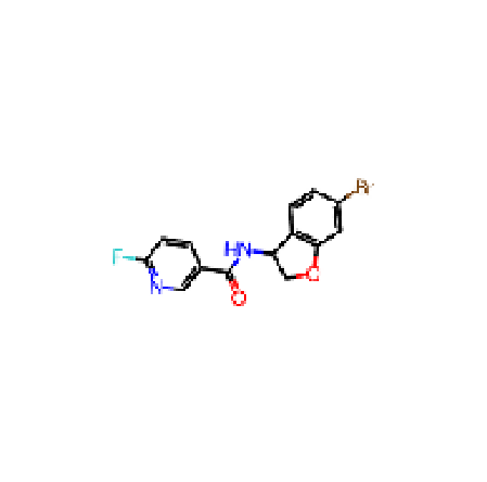 O=C(NC1COc2cc(Br)ccc21)c1ccc(F)nc1